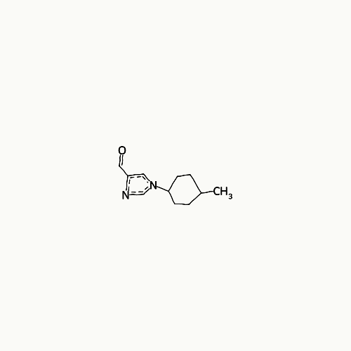 CC1CCC(n2cnc(C=O)c2)CC1